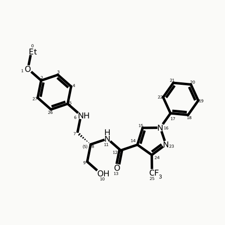 CCOc1ccc(NC[C@@H](CO)NC(=O)c2cn(-c3ccccc3)nc2C(F)(F)F)cc1